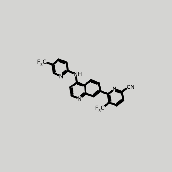 N#Cc1ccc(C(F)(F)F)c(-c2ccc3c(Nc4ccc(C(F)(F)F)cn4)ccnc3c2)n1